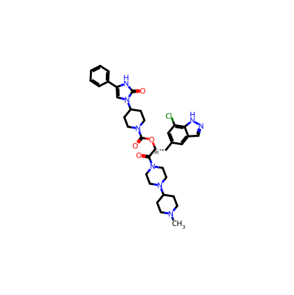 CN1CCC(N2CCN(C(=O)[C@@H](Cc3cc(Cl)c4[nH]ncc4c3)OC(=O)N3CCC(n4cc(-c5ccccc5)[nH]c4=O)CC3)CC2)CC1